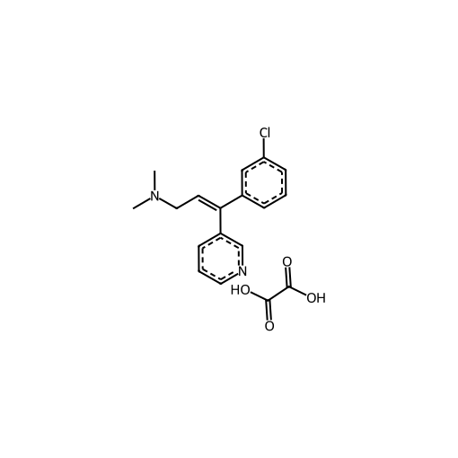 CN(C)C/C=C(\c1cccnc1)c1cccc(Cl)c1.O=C(O)C(=O)O